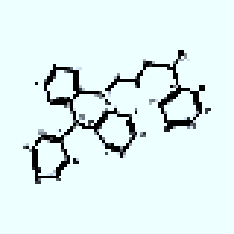 CC[C@H](CCCN(C)c1ccccc1P(c1ccccc1)c1ccccc1)c1ccccc1